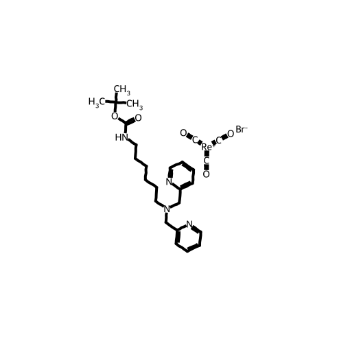 CC(C)(C)OC(=O)NCCCCCCN(Cc1ccccn1)Cc1ccccn1.O=[C]=[Re+](=[C]=O)=[C]=O.[Br-]